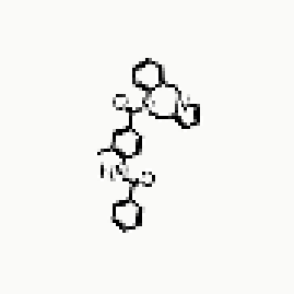 Cc1cc(C(=O)N2Cc3cccn3Cc3ccccc32)ccc1NC(=O)c1ccccc1